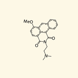 COc1ccc2c3c(c4ccccc4cc13)C(=O)N(CCN(C)C)C2=O